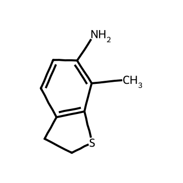 Cc1c(N)ccc2c1SCC2